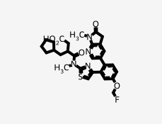 CN(C(=O)C(CC(=O)O)CC1CCCC1)c1nc(-c2cc(OCF)ccc2-c2cnc3c(c2)CC(=O)N3C)cs1